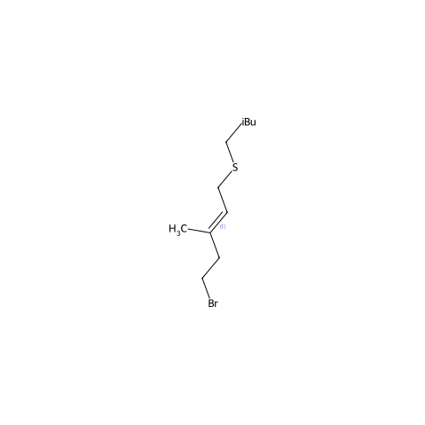 CCC(C)CSC/C=C(\C)CCBr